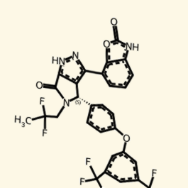 CC(F)(F)CN1C(=O)c2[nH]nc(-c3cccc4[nH]c(=O)oc34)c2[C@@H]1c1ccc(Oc2cc(C(F)(F)F)cc(C(F)(F)F)c2)cc1